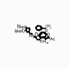 COc1ccc(CCNC(=O)/C=C(/C)c2ccc(OC(C)c3ccccc3)c3oc(C(C)=O)cc23)cc1OC